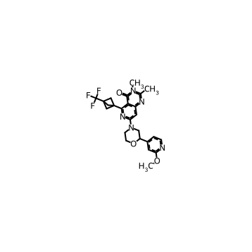 COc1cc(C2CN(c3cc4nc(C)n(C)c(=O)c4c(C45CC(C(F)(F)F)(C4)C5)n3)CCO2)ccn1